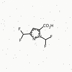 O=C(O)c1cc(C(F)F)nn1C(F)F